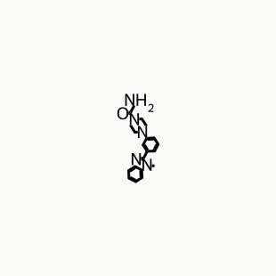 Cn1c(-c2cccc(N3CCN(C(=O)CN)CC3)c2)nc2ccccc21